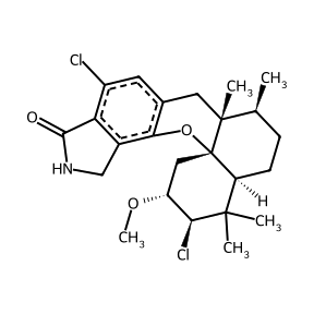 CO[C@@H]1C[C@@]23Oc4c(cc(Cl)c5c4CNC5=O)C[C@]2(C)[C@@H](C)CC[C@H]3C(C)(C)[C@H]1Cl